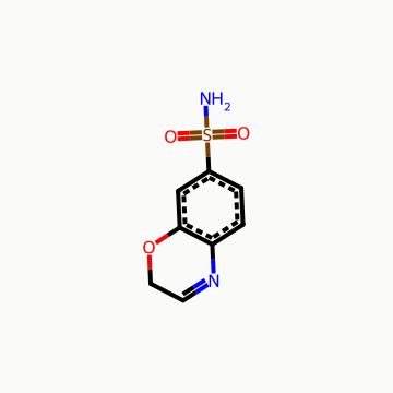 NS(=O)(=O)c1ccc2c(c1)OCC=N2